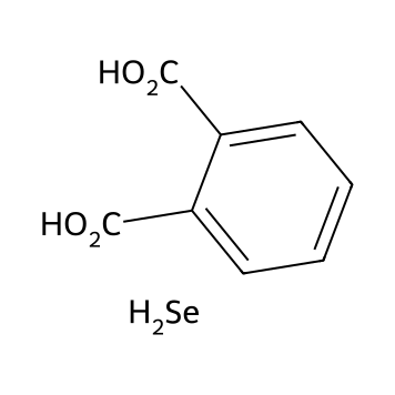 O=C(O)c1ccccc1C(=O)O.[SeH2]